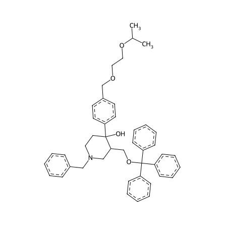 CC(C)OCCOCc1ccc(C2(O)CCN(Cc3ccccc3)CC2COC(c2ccccc2)(c2ccccc2)c2ccccc2)cc1